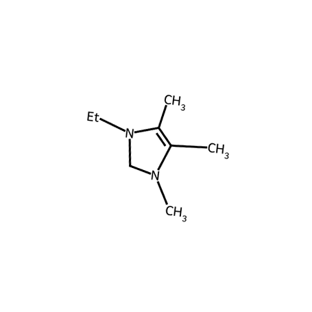 CCN1CN(C)C(C)=C1C